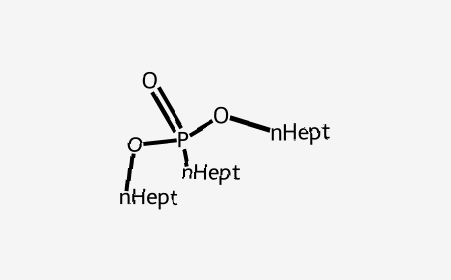 CCCCCCCOP(=O)(CCCCCCC)OCCCCCCC